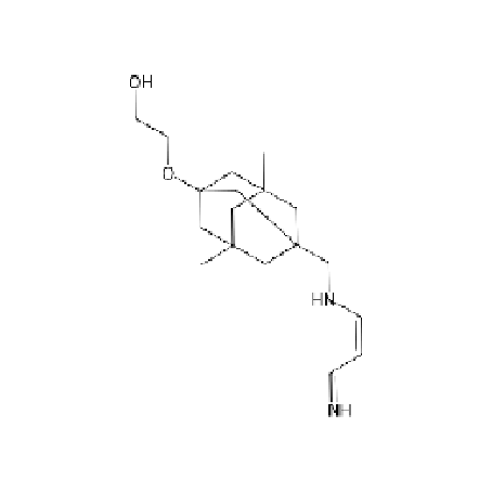 CC12CC3(C)CC(CN/C=C\C=N)(C1)CC(OCCO)(C2)C3